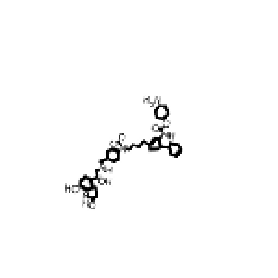 NC1CCC(OC(=O)Nc2cc(CCCCn3c(=O)oc4cc(CNC[C@@H](O)c5ccc(O)c6[nH]c(=O)ccc56)ccc43)ccc2-c2ccccc2)CC1